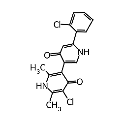 Cc1[nH]c(C)c(-c2c[nH]c(-c3ccccc3Cl)cc2=O)c(=O)c1Cl